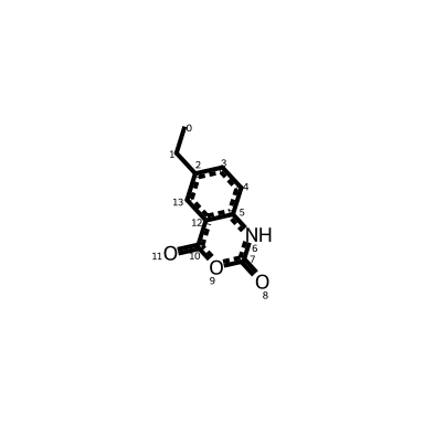 CCc1ccc2[nH]c(=O)oc(=O)c2c1